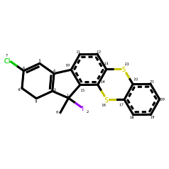 CC1(I)C2=C(C=C(Cl)CC2)c2ccc3c(c21)Sc1ccccc1S3